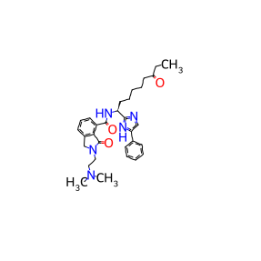 CCC(=O)CCCCC[C@H](NC(=O)c1cccc2c1C(=O)N(CCN(C)C)C2)c1ncc(-c2ccccc2)[nH]1